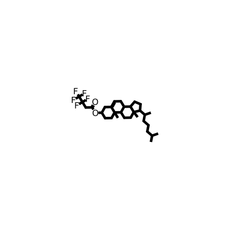 CC(C)CCCC(C)C1CCC2C3CC=C4CC(OC(=O)CC(F)(F)C(F)(F)F)CCC4(C)C3CCC12C